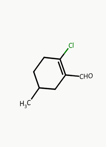 CC1CCC(Cl)=C(C=O)C1